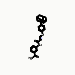 NC(=O)c1cccc(NC(=O)/C=C/Oc2ccc(C34CC5CC(CC(C5)C3)C4)cc2)c1